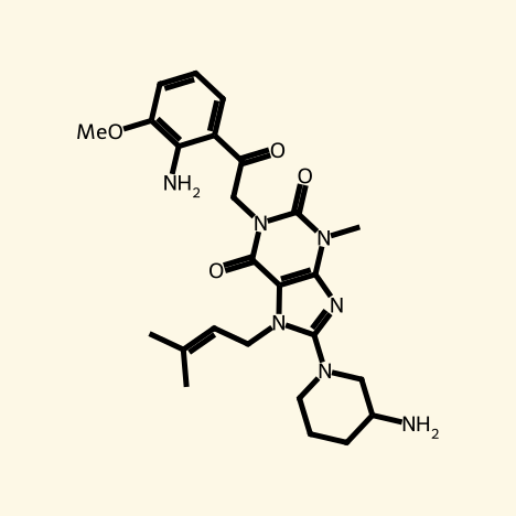 COc1cccc(C(=O)Cn2c(=O)c3c(nc(N4CCCC(N)C4)n3CC=C(C)C)n(C)c2=O)c1N